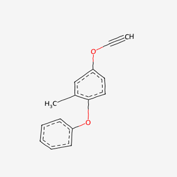 C#COc1ccc(Oc2ccccc2)c(C)c1